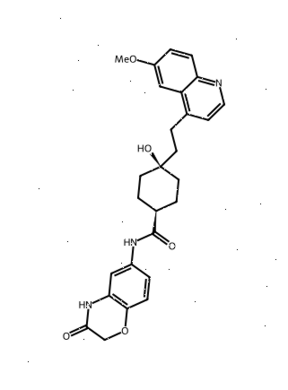 COc1ccc2nccc(CC[C@]3(O)CC[C@@H](C(=O)Nc4ccc5c(c4)NC(=O)CO5)CC3)c2c1